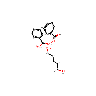 O=C(O)c1ccccc1.O=C(O)c1ccccc1.OCCCCCO